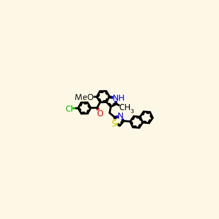 COc1ccc2[nH]c(C)c(Cc3nc(-c4ccc5ccccc5c4)cs3)c2c1C(=O)c1ccc(Cl)cc1